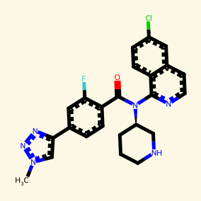 Cn1cc(-c2ccc(C(=O)N(c3nccc4cc(Cl)ccc34)[C@@H]3CCCNC3)c(F)c2)nn1